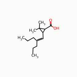 CCCC(=CC1C(C(=O)O)C1(C)C)CCC